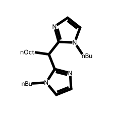 CCCCCCCCC(c1nccn1CCCC)c1nccn1CCCC